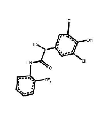 O=C(Nc1ccccc1C(F)(F)F)N(S)c1cc(Cl)c(O)c(Cl)c1